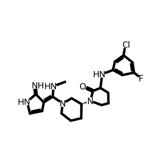 CN/C(=C1/C=CNC1=N)N1CCC[C@@H](N2CCCC(Nc3cc(F)cc(Cl)c3)C2=O)C1